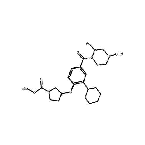 CC(C)C1CN(C(=O)O)CCN1C(=O)c1ccc(OC2CCN(C(=O)OC(C)(C)C)C2)c(C2CCCCC2)c1